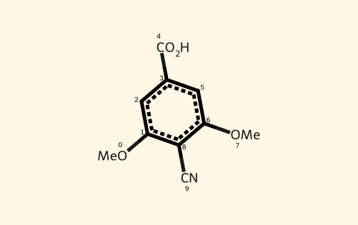 COc1cc(C(=O)O)cc(OC)c1C#N